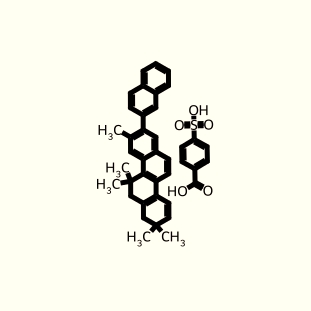 Cc1cc2c3c(ccc2cc1-c1ccc2ccccc2c1)C1=C(CC(C)(C)C=C1)CC3(C)C.O=C(O)c1ccc(S(=O)(=O)O)cc1